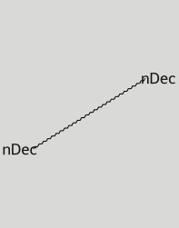 CCCCCCCCCCCCCCCCCCCCCCCCCCCCCCCCCCCCCCCCCCCCCCCCCCCCCCCCCCCCCCCCCCCCCCCC